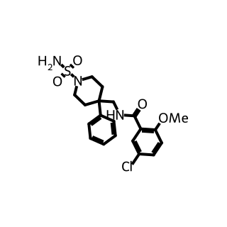 COc1ccc(Cl)cc1C(=O)NCC1(c2ccccc2)CCN(S(N)(=O)=O)CC1